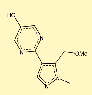 COCc1c(-c2ncc(O)cn2)cnn1C